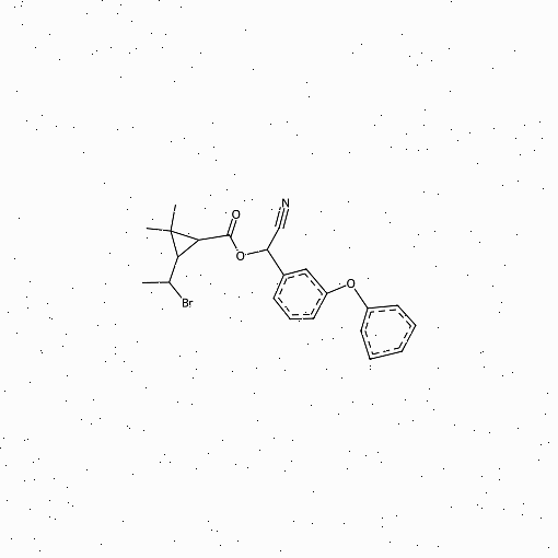 CC(Br)C1C(C(=O)OC(C#N)c2cccc(Oc3ccccc3)c2)C1(C)C